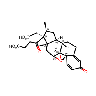 C[C@H]1C[C@H]2[C@@H]3CCC4=CC(=O)C=C[C@]4(C)[C@@]34O[C@H]4C[C@]2(C)[C@@]1(CC(=O)O)C(=O)CCC(=O)O